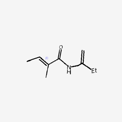 C=C(CC)NC(=O)/C(C)=C/C